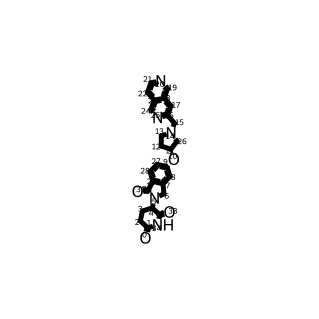 O=C1CCC(N2Cc3cc(O[C@H]4CCN(Cc5cc6cnccc6cn5)C4)ccc3C2=O)C(=O)N1